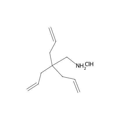 C=CCC(CN)(CC=C)CC=C.Cl